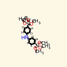 CO[Si](OC)(OC)c1ccc(Nc2ccc([Si](OC)(OC)OC)cc2)cc1